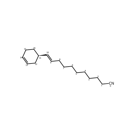 N#CCCCCCCCC/C=C/[C@H]1CC=CCC1